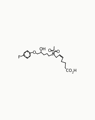 CS(=O)(=O)N(C/C=C\CCCC(=O)O)CCCC(O)COc1ccc(F)cc1